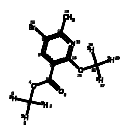 [2H]C([2H])([2H])OC(=O)c1cc(Br)c(C)nc1OC([2H])([2H])[2H]